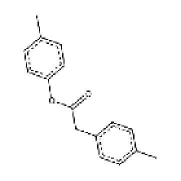 Cc1ccc(CC(=O)Oc2ccc(C)cc2)cc1